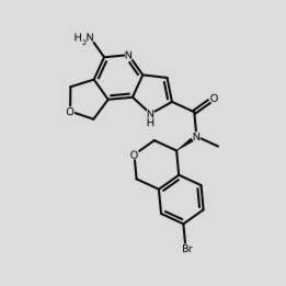 CN(C(=O)c1cc2nc(N)c3c(c2[nH]1)COC3)[C@@H]1COCc2cc(Br)ccc21